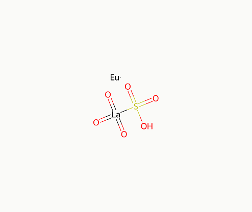 O=[S](=O)(O)[La](=[O])(=[O])=[O].[Eu]